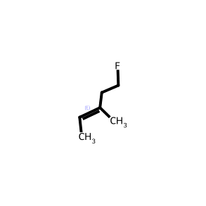 C/C=C(\C)CCF